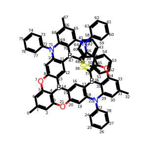 Cc1cc2c3c(c1)Oc1cc4c(cc1B3c1cc3c(cc1O2)N(c1ccccc1)c1cc(C)cc2c1B3c1sc3ccccc3c1O2)B1c2sc3ccccc3c2N(c2ccccc2)c2cc(C)cc(c21)N4c1ccccc1